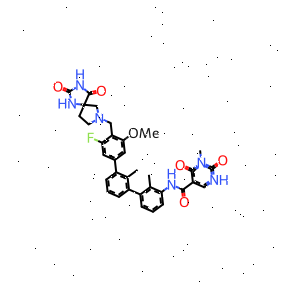 COc1cc(-c2cccc(-c3cccc(NC(=O)c4c[nH]c(=O)n(C)c4=O)c3C)c2C)cc(F)c1CN1CCC2(C1)NC(=O)NC2=O